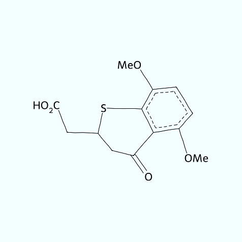 COc1ccc(OC)c2c1SC(CC(=O)O)CC2=O